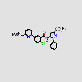 CCOC(=O)c1cc(NC(=O)c2cc(-c3cccc(CNC)n3)ccc2Cl)n(-c2ccccc2)n1